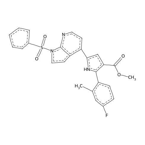 COC(=O)c1cc(-c2ccnc3c2ccn3S(=O)(=O)c2ccccc2)[nH]c1-c1ccc(F)cc1C